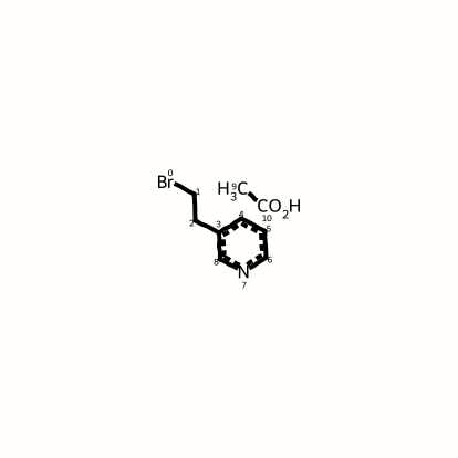 BrCCc1cccnc1.CC(=O)O